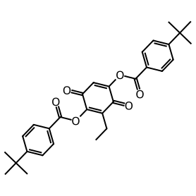 CCC1=C(OC(=O)c2ccc(C(C)(C)C)cc2)C(=O)C=C(OC(=O)c2ccc(C(C)(C)C)cc2)C1=O